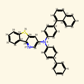 c1ccc(-c2ccc(N(c3ccc(-c4cccc5ccccc45)cc3)c3cnc4c(c3)sc3ccccc34)cc2)cc1